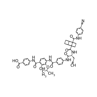 C#CC[C@H](NC(=O)C12C3C4C5C3C1(C(=O)Nc1ccc(C#N)cc1)C5C42)C(=O)Nc1ccc(C(=O)Nc2ccc(C(=O)Nc3ccc(C(=O)O)cc3)c(O)c2OC(C)C)cc1